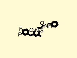 Cc1cc(Cc2ccc(F)c(F)c2)c(=O)n2cc(C(=O)NCc3ccccc3)sc12